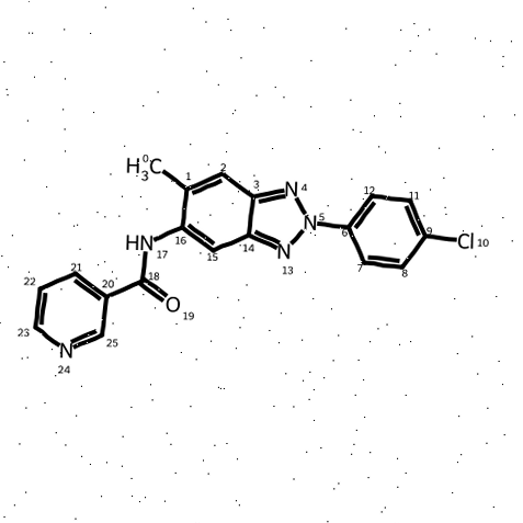 Cc1cc2nn(-c3ccc(Cl)cc3)nc2cc1NC(=O)c1cccnc1